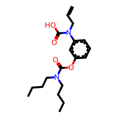 C=CCN(C(=O)O)c1cccc(OC(=O)N(CCCC)CCCC)c1